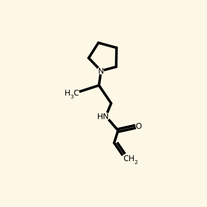 C=CC(=O)NCC(C)N1CCCC1